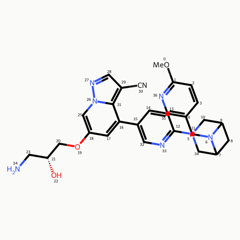 COc1ccc(CN2C3CC2CN(c2ccc(-c4cc(OC[C@H](O)CN)cn5ncc(C#N)c45)cn2)C3)cn1